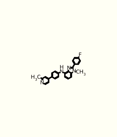 Cc1cc(-c2ccc(Nc3cccc4c3nc(-c3ccc(F)cc3)n4C)cc2)ccn1